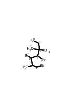 CC(CBr)C(Br)C(Br)C(C)(C)CBr